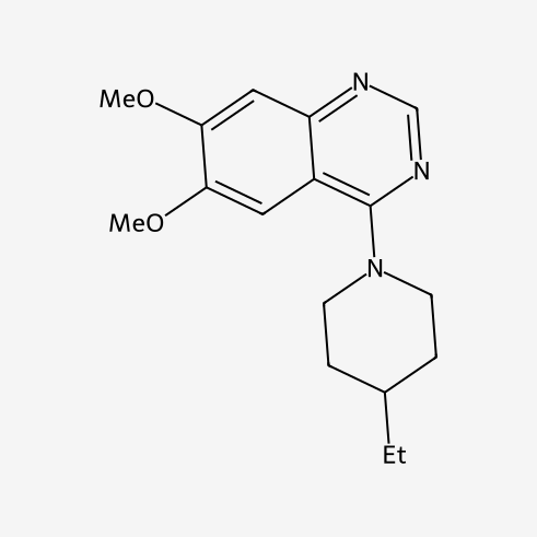 [CH2]CC1CCN(c2ncnc3cc(OC)c(OC)cc23)CC1